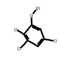 CCOc1cc(Cl)cc(Cl)c1Cl